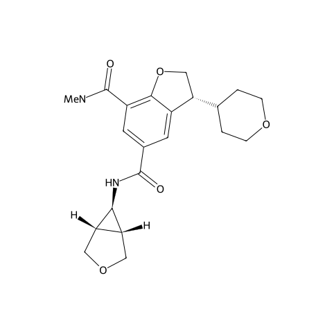 CNC(=O)c1cc(C(=O)N[C@H]2[C@@H]3COC[C@@H]32)cc2c1OC[C@@H]2C1CCOCC1